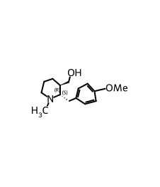 COc1ccc(C[C@H]2[C@H](CO)CCCN2C)cc1